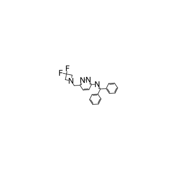 FC1(F)CN(Cc2ccc(N=C(c3ccccc3)c3ccccc3)nn2)C1